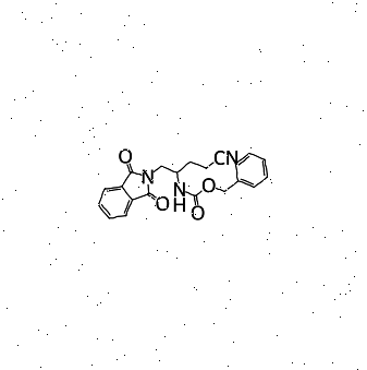 N#CCCC(CN1C(=O)c2ccccc2C1=O)NC(=O)OCc1ccccc1